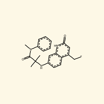 CN(C(=O)C(C)(C)Nc1ccc2c(CF)cc(=O)[nH]c2c1)c1ccccc1